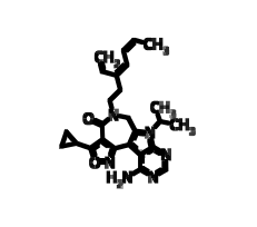 C=C/C(=C\C=C/C)CCN1Cc2c(c3c(N)ncnc3n2C(C)C)-c2noc(C3CC3)c2C1=O